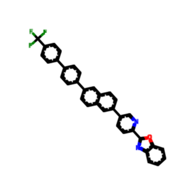 FC(F)(F)c1ccc(-c2ccc(-c3ccc4cc(-c5ccc(-c6nc7ccccc7o6)nc5)ccc4c3)cc2)cc1